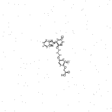 O=C(O)COc1ccc(OCCCOc2ncc(Cl)cc2-n2nc3ccccc3n2)cc1Cl